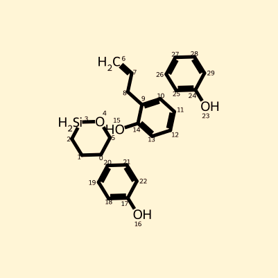 C1CC[SiH2]OC1.C=CCc1ccccc1O.Oc1ccccc1.Oc1ccccc1